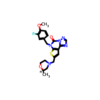 COc1ccc(Cn2c(=O)n3ncnc3c3cc(CN4CCO[C@H](C)C4)sc32)cc1F